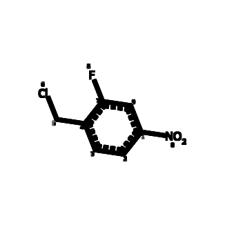 O=[N+]([O-])c1ccc(CCl)c(F)c1